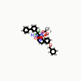 NC1CC2CCC(C1)N2C(=O)[C@H](N(OC(=O)C(F)(F)F)S(=O)(=O)c1ccc(OCC2CCCCC2)cc1)C(F)(F)c1cccc(-c2ccccc2)c1